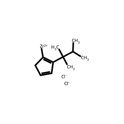 CC(C)C(C)(C)C1=[C]([Zr+2])CC=C1.[Cl-].[Cl-]